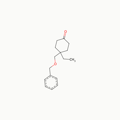 CCC1(COCc2ccccc2)CCC(=O)CC1